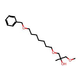 COCC(C)(O)COCCCCCCCOCc1ccccc1